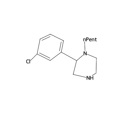 CCCCCN1CCNCC1c1cccc(Cl)c1